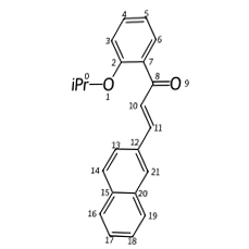 CC(C)Oc1ccccc1C(=O)/C=C/c1ccc2ccccc2c1